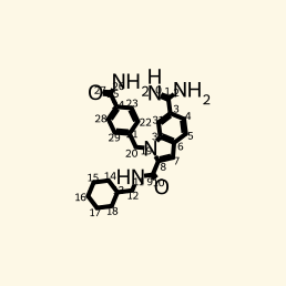 N=C(N)c1ccc2cc(C(=O)NCC3CCCCC3)n(Cc3ccc(C(N)=O)cc3)c2c1